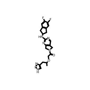 CC(Cc1c[nH]nn1)OCC(=O)N1Cc2cnc(NC3Cc4cc(F)c(F)cc4C3)nc2C1